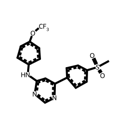 CS(=O)(=O)c1ccc(-c2cc(Nc3ccc(OC(F)(F)F)cc3)ncn2)cc1